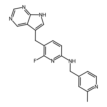 Cc1cc(CNc2ccc(Cc3c[nH]c4ncncc34)c(F)n2)ccn1